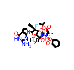 BC(B)(OP(=O)(N[C@@H](C)C(=O)OC(C)C)Oc1ccccc1)C1O[C@@H](n2ccc3c(=O)[nH]c(N)nc32)[C@@](F)(C#C)C1O